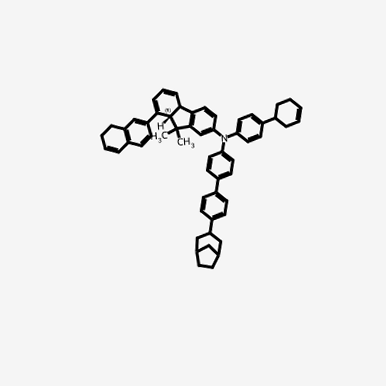 CC1(C)c2cc(N(c3ccc(-c4ccc(C5CC6CCC(C6)C5)cc4)cc3)c3ccc(C4CC=CCC4)cc3)ccc2C2C=CC=C(c3ccc4c(c3)CCC=C4)[C@H]21